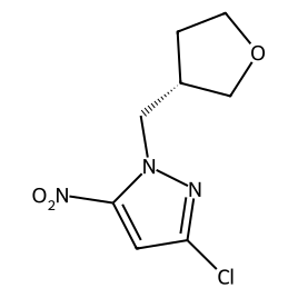 O=[N+]([O-])c1cc(Cl)nn1C[C@@H]1CCOC1